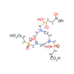 CC(C)C(=O)CCP(=O)(O)CN1CCN(CP(=O)(O)CCC(=O)O)CCN(CP(=O)(O)CCC(=O)O)CC1